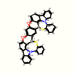 c1ccc2c(c1)SB1c3cc4c(cc3Oc3ccc5c6ccccc6n-2c5c31)Oc1ccc2c3ccccc3n3c2c1B4Sc1ccccc1-3